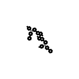 Cc1ccc(N(c2ccc(-c3ccccc3)cc2)c2cccc(-c3ccc4c(-c5c(C)ccc6cc(-c7cccc(N(c8ccc(C)cc8)c8ccc(-c9ccccc9)cc8)c7)ccc56)c(C)ccc4c3)c2)cc1